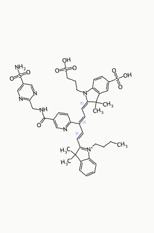 CCCC[N+]1=C(/C=C/C(=C/C=C2/N(CCCS(=O)(=O)O)c3ccc(S(=O)(=O)O)cc3C2(C)C)c2ccc(C(=O)NCc3ncc(S(N)(=O)=O)cn3)cn2)C(C)(C)c2ccccc21